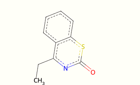 CCc1nc(=O)sc2ccccc12